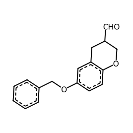 O=CC1COc2ccc(OCc3ccccc3)cc2C1